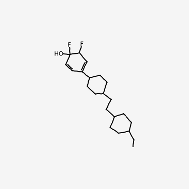 CCC1CCC(CCC2CCC(C3=CC(F)C(O)(F)C=C3)CC2)CC1